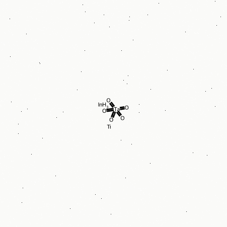 [InH3].[O]=[Ta](=[O])(=[O])(=[O])=[O].[Ti]